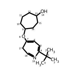 CC(C)(C)C1=CC=C(OC2CCCC(O)CC2)CC=N1